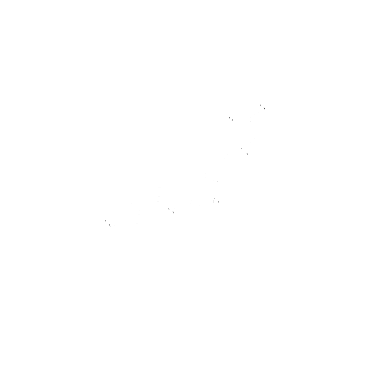 N=C(/C=N\C=C1\c2cc(NC(=O)c3ccnc(C(F)(F)F)c3)cnc21)N1CCCCC1